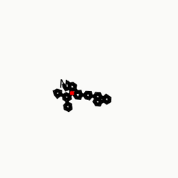 c1ccc(-c2cc(-c3ccccc3)cc(-n3c4ccc(-c5ccc(-c6ccc7c8c(cccc68)-c6ccccc6-7)cc5)cc4c4ccc5cnccc5c43)c2)cc1